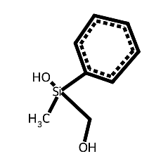 C[Si](O)(CO)c1ccccc1